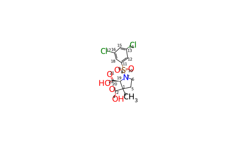 CC1(C(=O)O)CCN(S(=O)(=O)c2cc(Cl)cc(Cl)c2)[C@@H]1C(=O)O